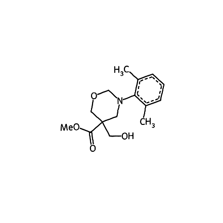 COC(=O)C1(CO)COCN(c2c(C)cccc2C)C1